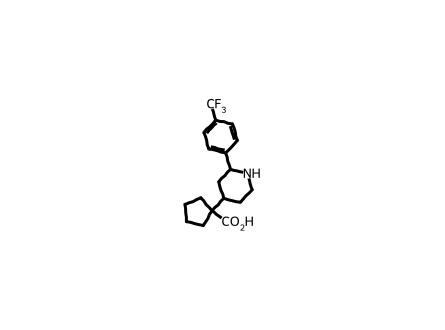 O=C(O)C1(C2CCNC(c3ccc(C(F)(F)F)cc3)C2)CCCC1